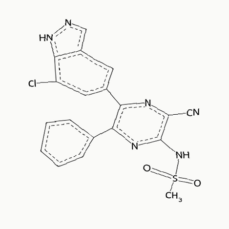 CS(=O)(=O)Nc1nc(-c2ccccc2)c(-c2cc(Cl)c3[nH]ncc3c2)nc1C#N